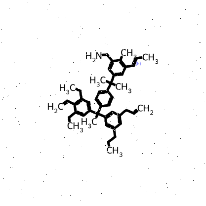 C=CCc1cc(CCC)cc(C(C)(c2ccc(C(C)(C)c3cc(/C=C/C)c(C)c(CN)c3)cc2)c2cc(CC)c(C=C)c(CC)c2)c1